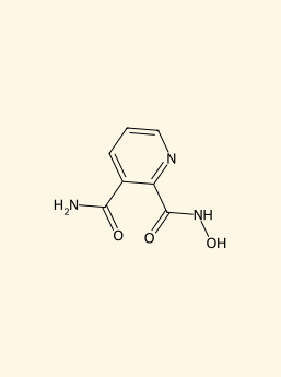 NC(=O)c1cccnc1C(=O)NO